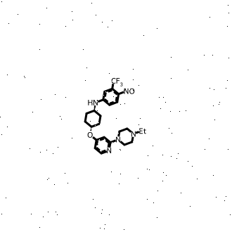 CCN1CCN(c2cc(O[C@H]3CC[C@H](Nc4ccc(N=O)c(C(F)(F)F)c4)CC3)ccn2)CC1